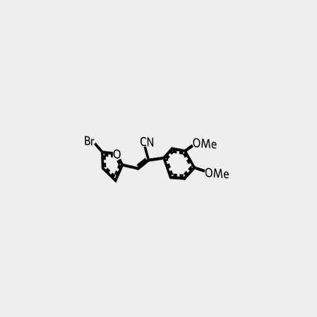 COc1ccc(C(C#N)=Cc2ccc(Br)o2)cc1OC